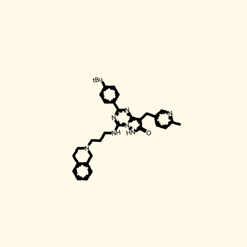 Cc1ccc(Cc2c(=O)[nH]n3c(NCCCN4CCc5ccccc5C4)nc(-c4ccc(C(C)(C)C)cc4)nc23)cn1